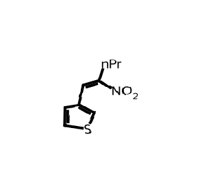 CCCC(=Cc1ccsc1)[N+](=O)[O-]